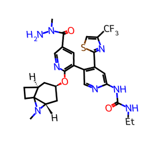 CCNC(=O)Nc1cc(-c2nc(C(F)(F)F)cs2)c(-c2cc(C(=O)N(C)N)cnc2O[C@@H]2C[C@@H]3CCC34[C@H](C2)N4C)cn1